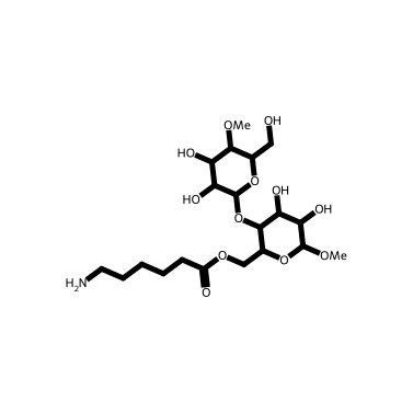 COC1OC(COC(=O)CCCCCN)C(OC2OC(CO)C(OC)C(O)C2O)C(O)C1O